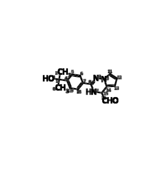 CC(C)(O)c1ccc(C2=Nn3cccc3C(C=O)N2)cc1